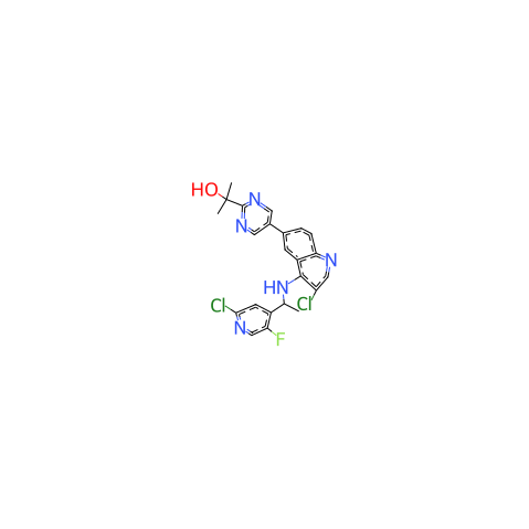 CC(Nc1c(Cl)cnc2ccc(-c3cnc(C(C)(C)O)nc3)cc12)c1cc(Cl)ncc1F